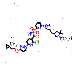 CC1(C)CC(CCCNc2cccc(S(=O)(=O)NC(=O)c3ccc(-n4ccc(OCCC5(C(F)(F)F)CC5)n4)nc3Cl)n2)CN1C(=O)O